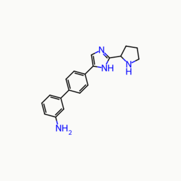 Nc1cccc(-c2ccc(-c3cnc(C4CCCN4)[nH]3)cc2)c1